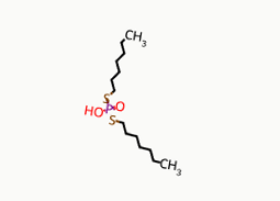 CCCCCCCSP(=O)(O)SCCCCCCC